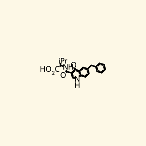 CC(C)C(NC(=O)c1c[nH]c2ccc(Cc3ccccc3)cc2c1=O)C(=O)O